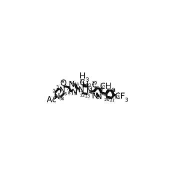 CC(=O)N1CCN(C(=O)c2cnc(N3CCN(c4nnc(-c5ccc(C(F)(F)F)cc5)c(C)c4C)C[C@H]3C)cn2)CC1